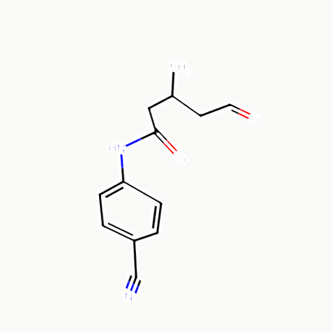 CC(CC=O)CC(=O)Nc1ccc(C#N)cc1